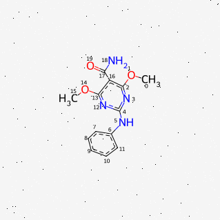 COc1nc(Nc2ccccc2)nc(OC)c1C(N)=O